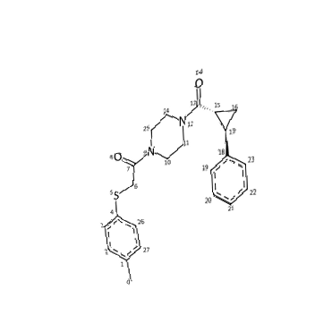 Cc1ccc(SCC(=O)N2CCN(C(=O)[C@@H]3C[C@H]3c3ccccc3)CC2)cc1